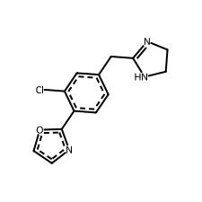 Clc1cc(CC2=NCCN2)ccc1-c1ncco1